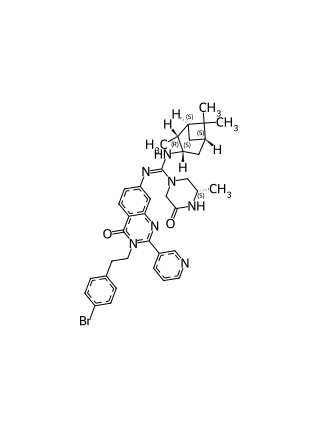 C[C@H]1[C@@H](NC(=Nc2ccc3c(=O)n(CCc4ccc(Br)cc4)c(-c4cccnc4)nc3c2)N2CC(=O)N[C@@H](C)C2)C[C@@H]2C[C@@H]1C2(C)C